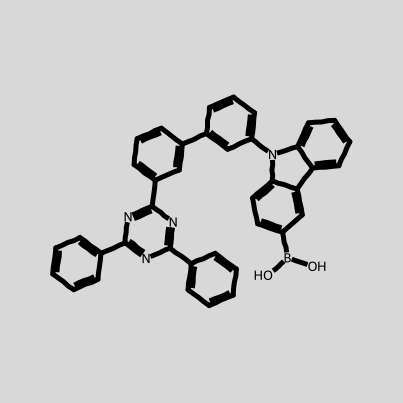 OB(O)c1ccc2c(c1)c1ccccc1n2-c1cccc(-c2cccc(-c3nc(-c4ccccc4)nc(-c4ccccc4)n3)c2)c1